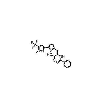 Cn1nc(-c2ccc(/C=C(/NC(=O)c3ccccc3)C(=O)O)s2)cc1C(F)(F)F